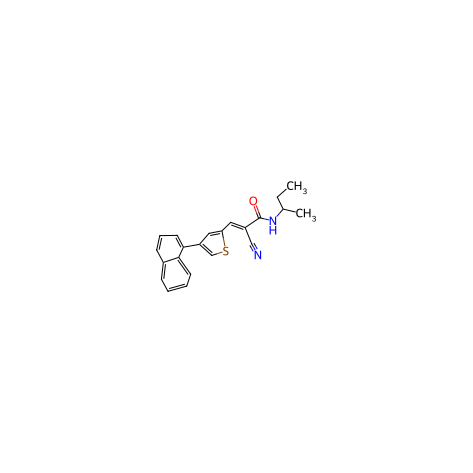 CCC(C)NC(=O)/C(C#N)=C/c1cc(-c2cccc3ccccc23)cs1